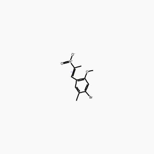 COc1cc(Br)c(C)cc1/C=C(\C)[N+](=O)[O-]